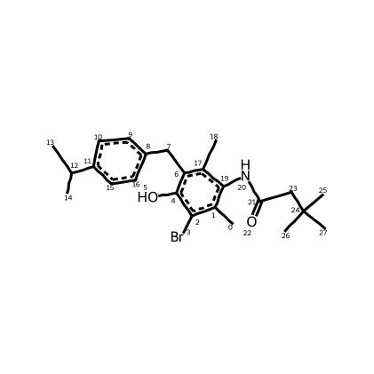 Cc1c(Br)c(O)c(Cc2ccc(C(C)C)cc2)c(C)c1NC(=O)CC(C)(C)C